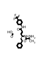 C[C@H](N)C(=O)N[C@H](C=CC(=O)Nc1ccc(C(F)(F)F)cc1)CCc1ccccc1.O=CO